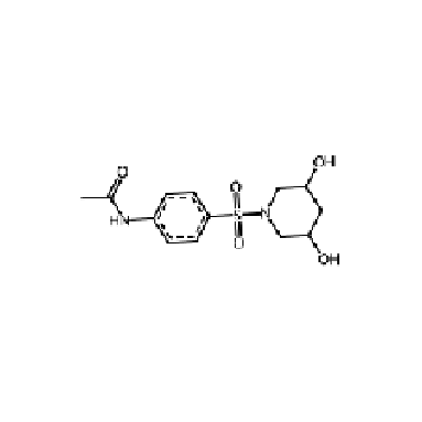 CC(=O)Nc1ccc(S(=O)(=O)N2CC(O)CC(O)C2)cc1